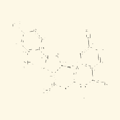 CCN(CCN(C)C(=O)c1ccc(Cl)cc1)[C@@H]1CN(c2ccc(Cl)cc2N)C[C@H]1OC(C)=O